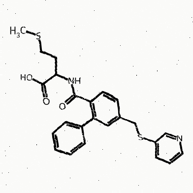 CSCCC(NC(=O)c1ccc(CSc2cccnc2)cc1-c1ccccc1)C(=O)O